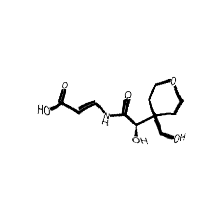 O=C(O)/C=C/NC(=O)[C@H](O)C1(CO)CCOCC1